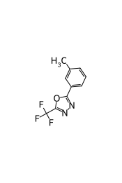 Cc1cccc(-c2nnc(C(F)(F)F)o2)c1